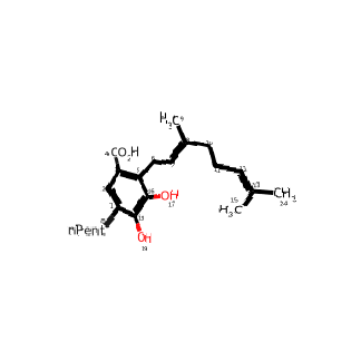 CCCCCc1cc(C(=O)O)c(C/C=C(\C)CCC=C(C)C)c(O)c1O